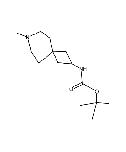 CN1CCC2(CC1)CC(NC(=O)OC(C)(C)C)C2